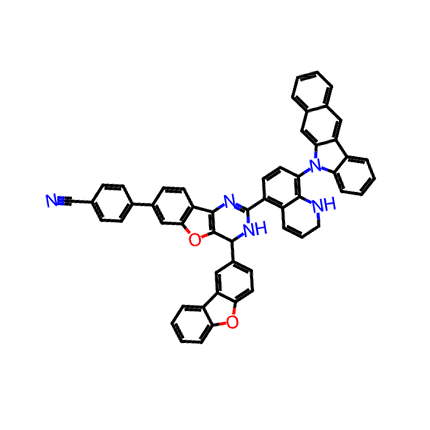 N#Cc1ccc(-c2ccc3c4c(oc3c2)C(c2ccc3oc5ccccc5c3c2)NC(c2ccc(-n3c5ccccc5c5cc6ccccc6cc53)c3c2C=CCN3)=N4)cc1